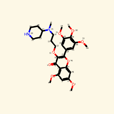 COc1cc(OC)c2c(=O)c(OCCCN(C)C3CCNCC3)c(-c3cc(OC)c(OC)c(OC)c3)oc2c1